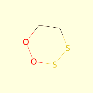 C1CSSOO1